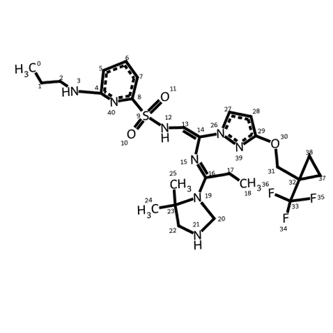 CCCNc1cccc(S(=O)(=O)N/C=C(\N=C(/CC)N2CNCC2(C)C)n2ccc(OCC3(C(F)(F)F)CC3)n2)n1